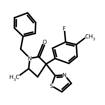 Cc1ccc(C2(c3nccs3)CC(C)N(Cc3ccccc3)C2=O)cc1F